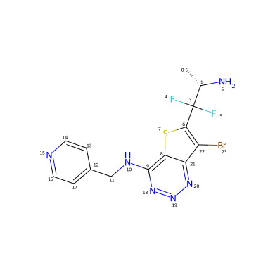 C[C@H](N)C(F)(F)c1sc2c(NCc3ccncc3)nnnc2c1Br